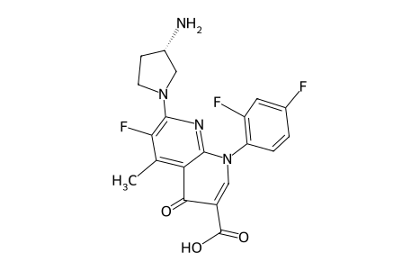 Cc1c(F)c(N2CC[C@H](N)C2)nc2c1c(=O)c(C(=O)O)cn2-c1ccc(F)cc1F